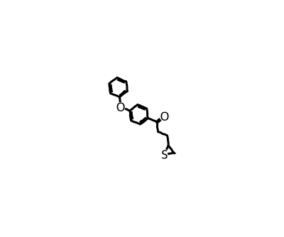 O=C(CCC1CS1)c1ccc(Oc2ccccc2)cc1